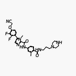 Cc1cc(NC(=O)c2ncc(-c3ccc(OCC#N)c(F)c3F)n2C)ccc1C(=O)NCCCN1CCNCC1